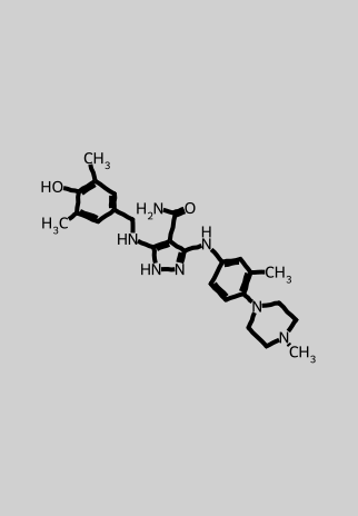 Cc1cc(Nc2n[nH]c(NCc3cc(C)c(O)c(C)c3)c2C(N)=O)ccc1N1CCN(C)CC1